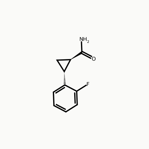 NC(=O)[C@@H]1C[C@H]1c1ccccc1F